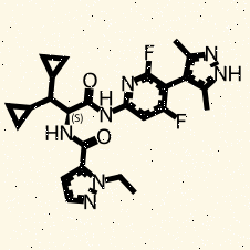 CCn1nccc1C(=O)N[C@H](C(=O)Nc1cc(F)c(-c2c(C)n[nH]c2C)c(F)n1)C(C1CC1)C1CC1